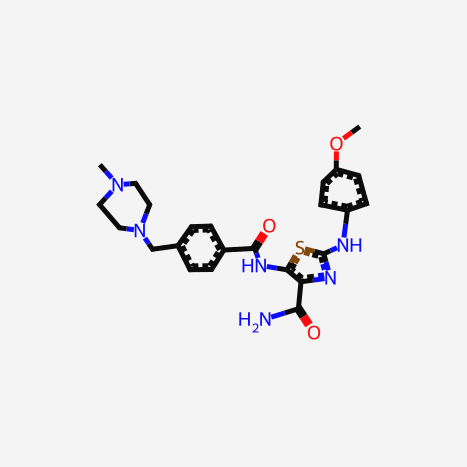 COc1ccc(Nc2nc(C(N)=O)c(NC(=O)c3ccc(CN4CCN(C)CC4)cc3)s2)cc1